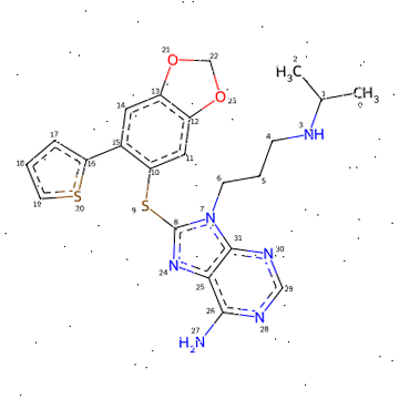 CC(C)NCCCn1c(Sc2cc3c(cc2-c2cccs2)OCO3)nc2c(N)ncnc21